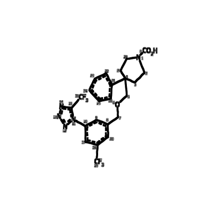 O=C(O)N1CCC(COCc2cc(-n3nnnc3C(F)(F)F)cc(C(F)(F)F)c2)(c2ccccc2)CC1